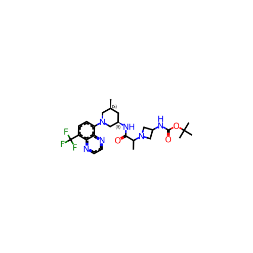 CC(C(=O)N[C@@H]1C[C@H](C)CN(c2ccc(C(F)(F)F)c3nccnc23)C1)N1CC(NC(=O)OC(C)(C)C)C1